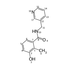 Cc1c(O)cccc1C(=O)NCc1cccnc1